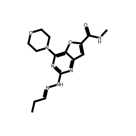 CC/C=N/Nc1nc(N2CCOCC2)c2oc(C(=O)NC)cc2n1